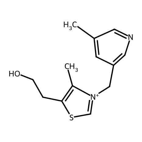 Cc1cncc(C[n+]2csc(CCO)c2C)c1